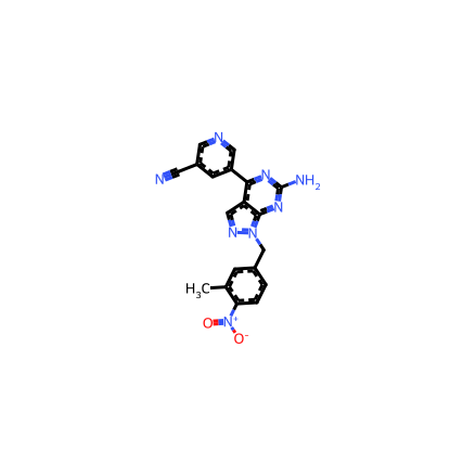 Cc1cc(Cn2ncc3c(-c4cncc(C#N)c4)nc(N)nc32)ccc1[N+](=O)[O-]